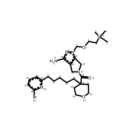 C[Si](C)(C)CCOCn1nc(N)c2c1CN(C(=O)C1(CCCCCc3cccc(Br)n3)CCOCC1)C2